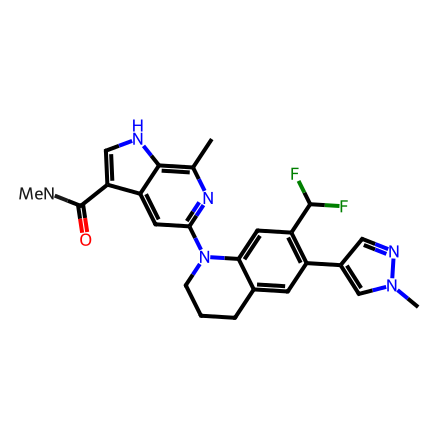 CNC(=O)c1c[nH]c2c(C)nc(N3CCCc4cc(-c5cnn(C)c5)c(C(F)F)cc43)cc12